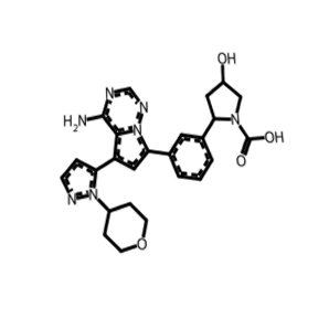 Nc1ncnn2c(-c3cccc(C4CC(O)CN4C(=O)O)c3)cc(-c3ccnn3C3CCOCC3)c12